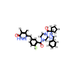 Cc1c(Cc2ccc(F)c(C(=O)N3CCN(C(=O)C4(NCc5ccccc5)CCCC4)CC3)c2)n[nH]c(=O)c1C